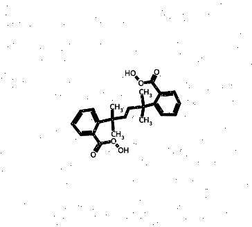 CC(C)(CCC(C)(C)c1ccccc1C(=O)OO)c1ccccc1C(=O)OO